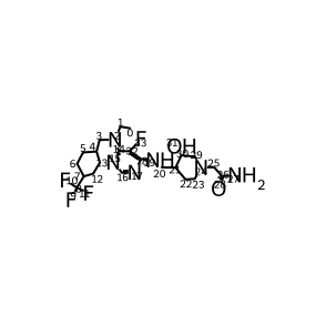 CCN(CC1CCC(C(F)(F)F)CC1)c1ncnc(NCC2CCN(CC(N)=O)C[C@@H]2O)c1F